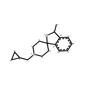 CC1OC2(CCN(CC3CC3)CC2)c2ccccc21